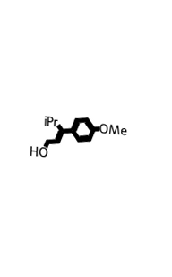 COc1ccc(C(=CCO)C(C)C)cc1